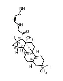 C[C@@]1(O)CC[C@H]2[C@H](CC[C@@H]3[C@@H]2CC[C@@]2(C)[C@H]3[C@@H]3C[C@@H]3[C@@H]2C(=O)CN/C=C\N=N)C1